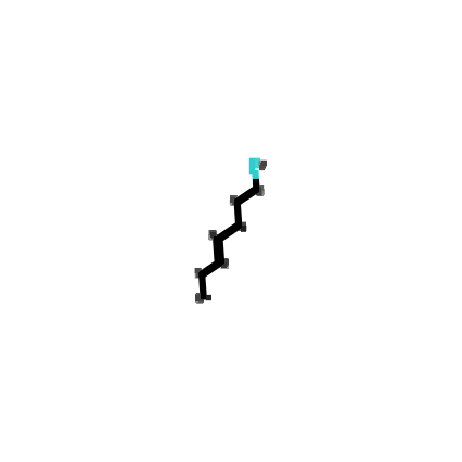 [CH2]CC=CCCCF